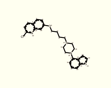 Clc1ccc2ccc(OCCCCN3CCN(c4cccc5sccc45)CC3)cc2n1